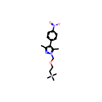 Cc1nn(COCC[Si](C)(C)C)c(C)c1-c1ccc([N+](=O)[O-])cc1